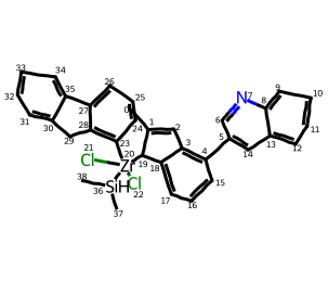 CC1=Cc2c(-c3cnc4ccccc4c3)cccc2[CH]1[Zr]([Cl])([Cl])([c]1cccc2c1Cc1ccccc1-2)[SiH](C)C